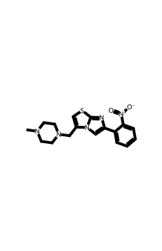 CN1CCN(Cc2csc3nc(-c4ccccc4[N+](=O)[O-])cn23)CC1